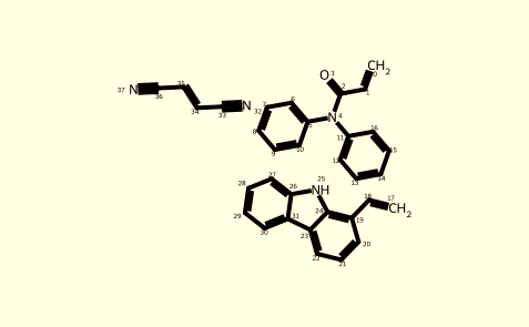 C=CC(=O)N(c1ccccc1)c1ccccc1.C=Cc1cccc2c1[nH]c1ccccc12.N#C/C=C/C#N